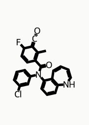 CC1=C(C(=O)N(c2cccc(Cl)c2)c2cccc3c2C=CC=CN3)C=CC(F)C1=C=O